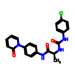 C[C@H](NC(=O)Nc1ccc(Cl)cc1)C(=O)Nc1ccc(-n2ccccc2=O)cc1